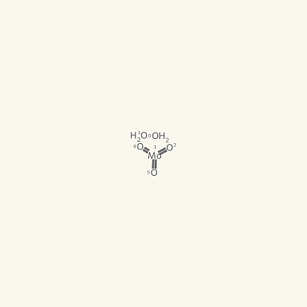 O.O.[O]=[Mo](=[O])=[O]